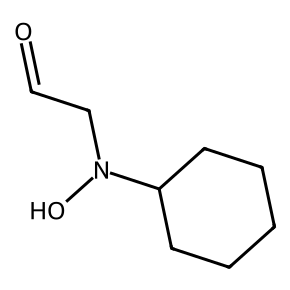 O=CCN(O)C1CCCCC1